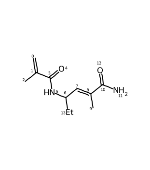 C=C(C)C(=O)NC(C=C(C)C(N)=O)CC